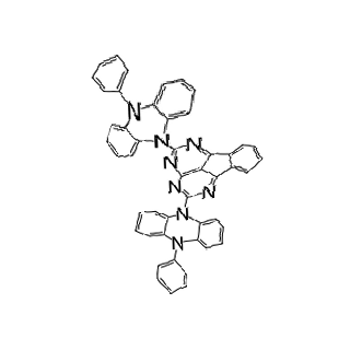 c1ccc(N2c3ccccc3N(c3nc4c5c(nc(N6c7ccccc7N(c7ccccc7)c7ccccc76)nc5n3)-c3ccccc3-4)c3ccccc32)cc1